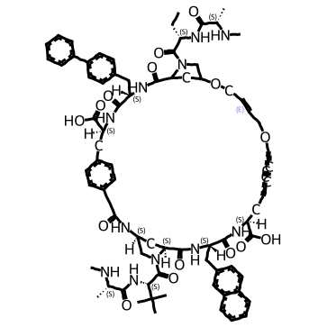 CC[C@H](NC(=O)[C@H](C)NC)C(=O)N1CC2CC1C(=O)N[C@@H](Cc1ccc(-c3ccccc3)cc1)C(=O)N[C@H](C(=O)O)Cc1ccc(cc1)C(=O)N[C@H]1C[C@@H](C(=O)N[C@@H](Cc3ccc4ccccc4c3)C(=O)N[C@H](C(=O)O)Cc3ccc(cc3)OC/C=C/CO2)N(C(=O)[C@@H](NC(=O)[C@H](C)NC)C(C)(C)C)C1